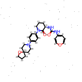 O=C(NC1=CC=COC=C1)N[C@@H]1CCCN(c2ccc(N3CCC4(CCCO4)CC3)cc2)C1=O